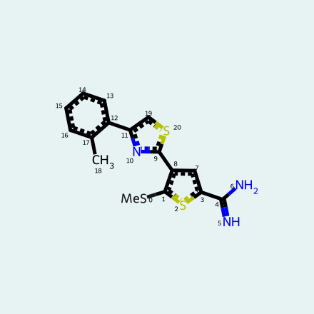 CSc1sc(C(=N)N)cc1-c1nc(-c2ccccc2C)cs1